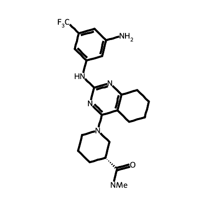 CNC(=O)[C@@H]1CCCN(c2nc(Nc3cc(N)cc(C(F)(F)F)c3)nc3c2CCCC3)C1